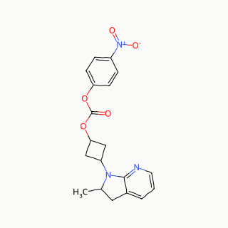 CC1Cc2cccnc2N1C1CC(OC(=O)Oc2ccc([N+](=O)[O-])cc2)C1